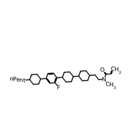 C=CC(=O)N(C)CCC1CCC(C2CCC(c3ccc(C4CCC(CCCCC)CC4)cc3F)CC2)CC1